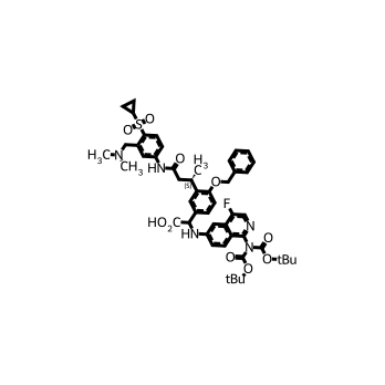 C[C@@H](CC(=O)Nc1ccc(S(=O)(=O)C2CC2)c(CN(C)C)c1)c1cc(C(Nc2ccc3c(N(C(=O)OC(C)(C)C)C(=O)OC(C)(C)C)ncc(F)c3c2)C(=O)O)ccc1OCc1ccccc1